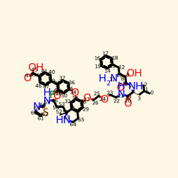 CC(C)C[C@@H](NC(=O)[C@H](O)[C@@H](N)Cc1ccccc1)C(=O)NCCOCCOc1cc2c(cc1Oc1ccc(-c3ccc(C(=O)O)cc3)c(F)c1)[C@@](C)(CCC(=O)Nc1nccs1)NCC2